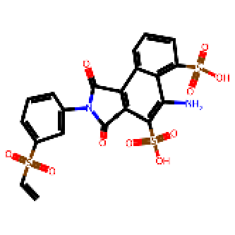 C=CS(=O)(=O)c1cccc(N2C(=O)c3c(S(=O)(=O)O)c(N)c4c(S(=O)(=O)O)cccc4c3C2=O)c1